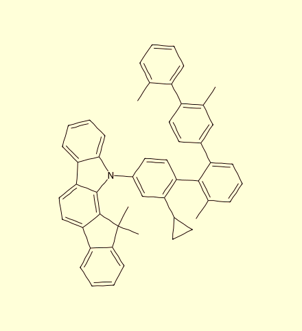 Cc1ccccc1-c1ccc(-c2cccc(C)c2-c2ccc(-n3c4ccccc4c4ccc5c(c43)C(C)(C)c3ccccc3-5)cc2C2CC2)cc1C